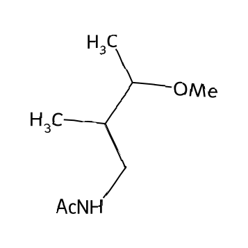 COC(C)C(C)CNC(C)=O